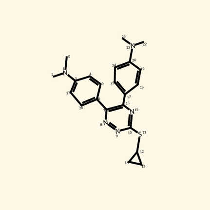 CN(C)c1ccc(-c2nnc(SC3CC3)nc2-c2ccc(N(C)C)cc2)cc1